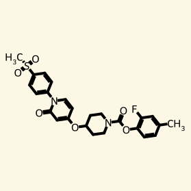 Cc1ccc(OC(=O)N2CCC(Oc3ccn(-c4ccc(S(C)(=O)=O)cc4)c(=O)c3)CC2)c(F)c1